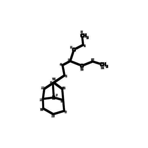 CCOC(CCCB1C2CCCC1CCC2)OCC